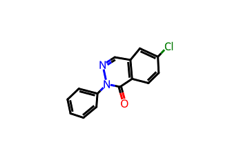 O=c1c2ccc(Cl)cc2cnn1-c1ccccc1